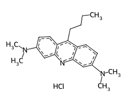 CCCCc1c2ccc(N(C)C)cc2nc2cc(N(C)C)ccc12.Cl